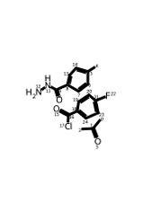 CC(C)=O.Cc1ccc(C(=O)NN)cc1.O=C(Cl)c1ccc(F)cc1